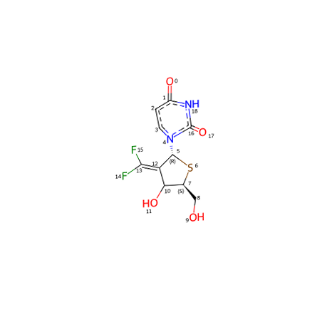 O=c1ccn([C@@H]2S[C@@H](CO)C(O)C2=C(F)F)c(=O)[nH]1